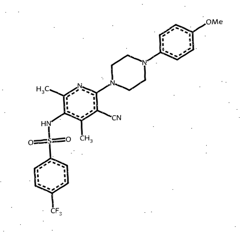 COc1ccc(N2CCN(c3nc(C)c(NS(=O)(=O)c4ccc(C(F)(F)F)cc4)c(C)c3C#N)CC2)cc1